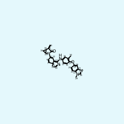 C=C1C(=O)N(c2ccc3ncnc(Nc4ccc(Oc5ccc6c(c5)ncn6C)c(C)c4)c3c2)C2CC12